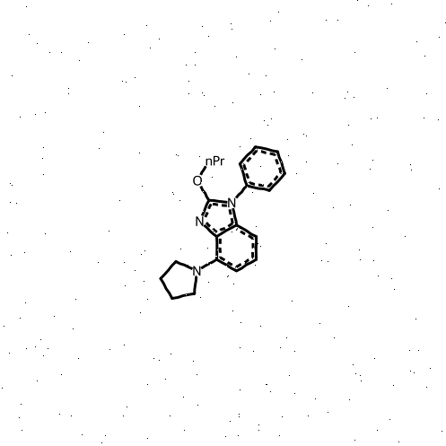 CCCOc1nc2c(N3CCCC3)cccc2n1-c1ccccc1